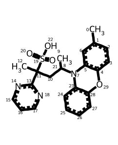 Cc1ccc2c(c1)N(C(C)CC(C)(c1ncccn1)S(=O)(=O)O)c1ccccc1O2